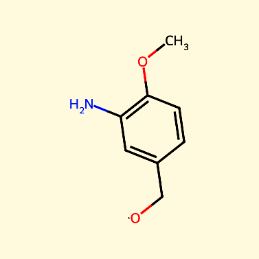 COc1ccc(C[O])cc1N